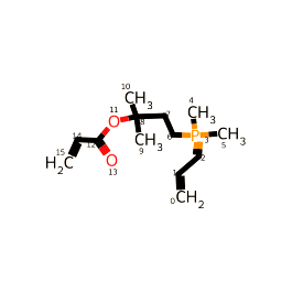 C=CC=P(C)(C)CCC(C)(C)OC(=O)C=C